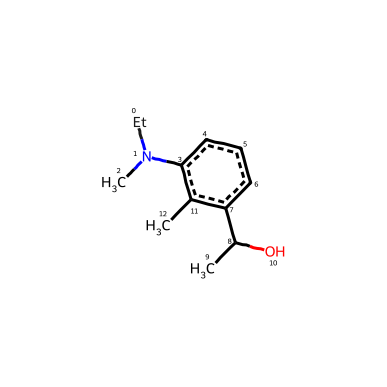 CCN(C)c1cccc(C(C)O)c1C